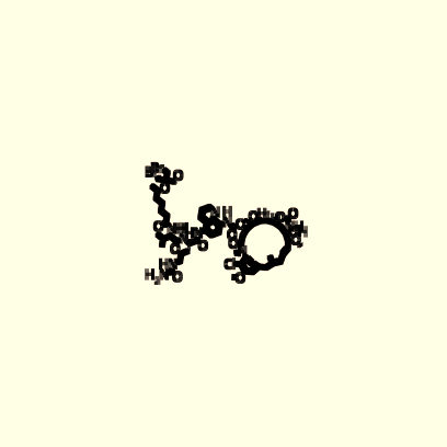 COc1cc2cc(c1Cl)N(C)C(=O)C[C@H](OC(=O)Nc1ccc(NC(=O)[C@H](CCCNC(N)=O)NC(=O)[C@@H](NC(=O)CCCCC(C)OC(C=O)(CBr)CBr)C(C)C)c3cccnc13)[C@]1(C)O[C@H]1[C@H](C)[C@@H]1C[C@@](O)(NC(=O)O1)[C@H](OC)/C=C/C=C(\C)C2